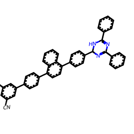 N#Cc1cc(C#N)cc(-c2ccc(-c3ccc(-c4ccc(C5N=C(c6ccccc6)N=C(c6ccccc6)N5)cc4)c4ccccc34)cc2)c1